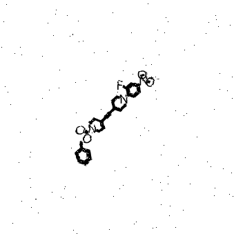 O=C(OCc1ccccc1)N1CC=C(C#CC2=CCN(c3ccc([N+](=O)[O-])cc3F)CC2)CC1